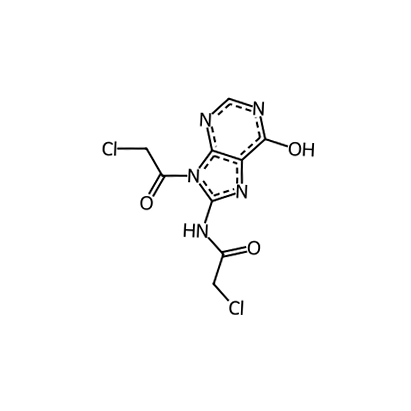 O=C(CCl)Nc1nc2c(O)ncnc2n1C(=O)CCl